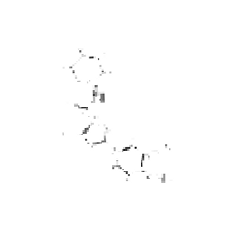 Cc1nc(-c2ccc(OCC(C)C)c(C#N)c2)sc1C(=O)NN1CCCCC1